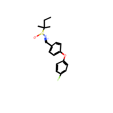 CCC(C)(C)[S+]([O-])/N=C/c1ccc(Oc2ccc(F)cc2)cc1